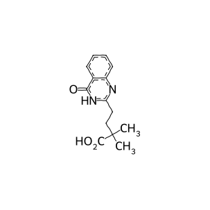 CC(C)(CCc1nc2ccccc2c(=O)[nH]1)C(=O)O